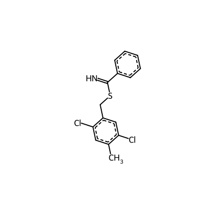 Cc1cc(Cl)c(CSC(=N)c2ccccc2)cc1Cl